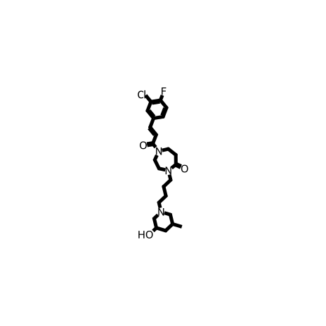 CC1CC(O)CN(CCCCN2CCN(C(=O)/C=C/c3ccc(F)c(Cl)c3)CCC2=O)C1